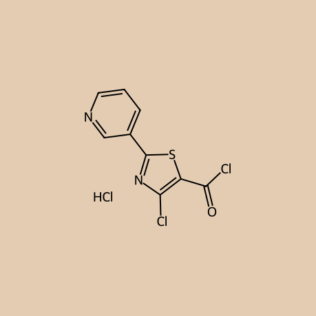 Cl.O=C(Cl)c1sc(-c2cccnc2)nc1Cl